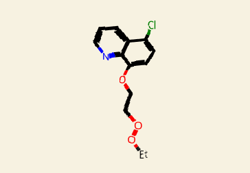 CCOOCCOc1ccc(Cl)c2cccnc12